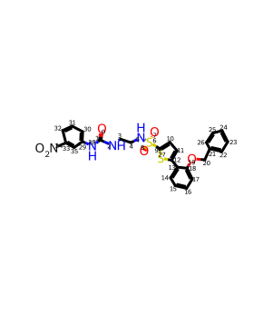 O=C(NCCNS(=O)(=O)c1ccc(-c2ccccc2OCc2ccccc2)s1)Nc1cccc([N+](=O)[O-])c1